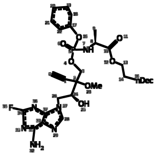 C#CC(COP(=O)(N[C@@H](C)C(=O)OCCCCCCCCCCCC)Oc1ccccc1)(OC)[C@@H](O)Cn1cnc2c(N)nc(F)nc21